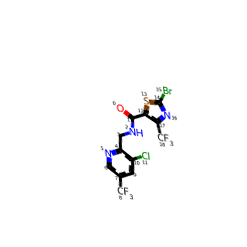 O=C(NCc1ncc(C(F)(F)F)cc1Cl)c1sc(Br)nc1C(F)(F)F